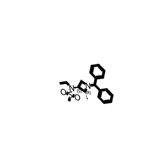 CCN([C@H]1CN(C(c2ccccc2)c2ccccc2)[C@@H]1C)S(C)(=O)=O